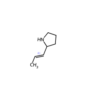 C/C=C/C1CCCN1